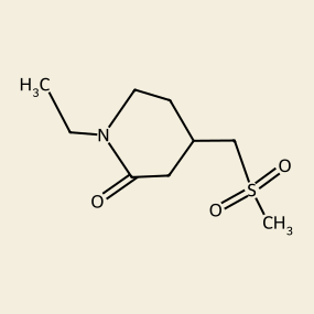 CCN1CCC(CS(C)(=O)=O)CC1=O